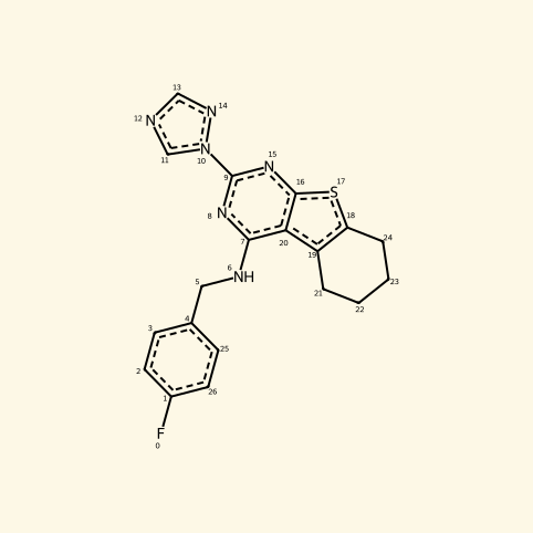 Fc1ccc(CNc2nc(-n3cncn3)nc3sc4c(c23)CCCC4)cc1